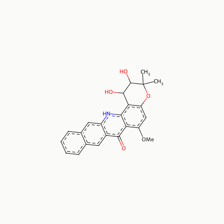 COc1cc2c(c3[nH]c4cc5ccccc5cc4c(=O)c13)C(O)C(O)C(C)(C)O2